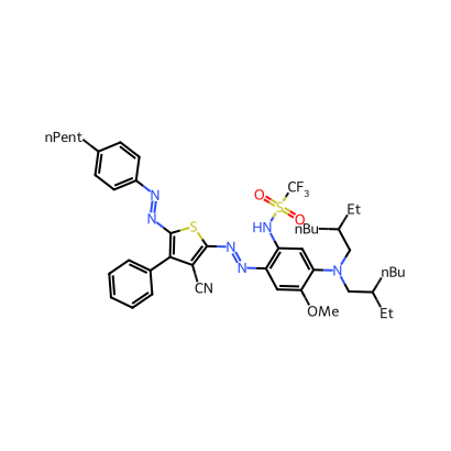 CCCCCc1ccc(N=Nc2sc(/N=N/c3cc(OC)c(N(CC(CC)CCCC)CC(CC)CCCC)cc3NS(=O)(=O)C(F)(F)F)c(C#N)c2-c2ccccc2)cc1